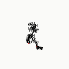 O=C(O)CCC(NC(=O)NC(CCCCNC(=O)C(Cc1ccc2ccccc2c1)NC(=O)C1CCC(CNC(=O)CCCc2cn(CC[18F])nn2)CC1)C(=O)O)C(=O)O